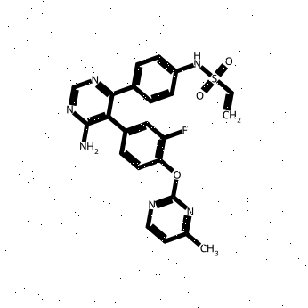 C=CS(=O)(=O)Nc1ccc(-c2ncnc(N)c2-c2ccc(Oc3nccc(C)n3)c(F)c2)cc1